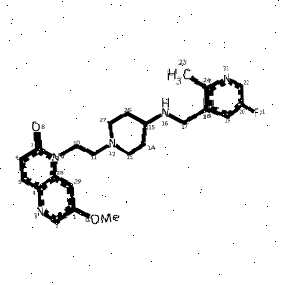 COc1cnc2ccc(=O)n(CCN3CCC(NCc4cc(F)cnc4C)CC3)c2c1